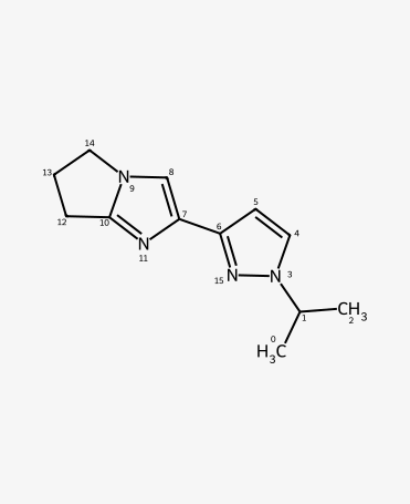 CC(C)n1ccc(-c2cn3c(n2)CCC3)n1